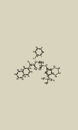 CN(C(=O)[C@H](Cc1ccccc1)NC(=O)Cn1nc(C(F)(F)F)c2c1CCCC2)c1ccc2ccccc2c1